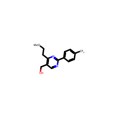 COCCc1nc(-c2ccc(C(F)(F)F)cc2)ncc1CO